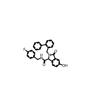 O=C(NCc1ccc(F)cc1)C1c2ccc(O)cc2C(=O)N1Cc1ccccc1-c1ccccc1